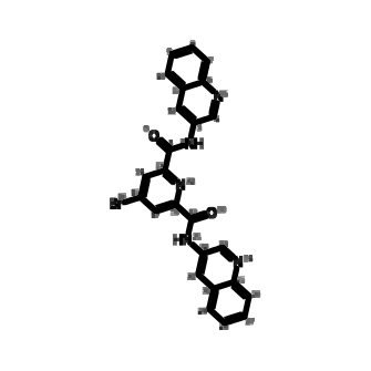 O=C(Nc1cnc2ccccc2c1)c1cc(Br)cc(C(=O)Nc2cnc3ccccc3c2)n1